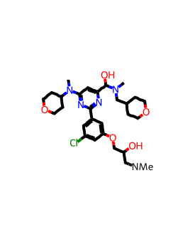 CNCC(O)COc1cc(Cl)cc(-c2nc(C(O)N(C)CC3CCOCC3)cc(N(C)C3CCOCC3)n2)c1